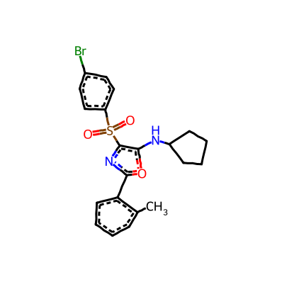 Cc1ccccc1-c1nc(S(=O)(=O)c2ccc(Br)cc2)c(NC2CCCC2)o1